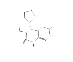 CC[C@@H]1C(=O)N(C)C2=CNC(Cl)NC2N1C1CCCC1